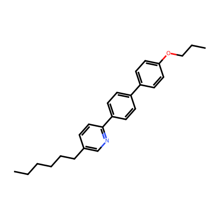 CCCCCCc1ccc(-c2ccc(-c3ccc(OCCC)cc3)cc2)nc1